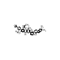 C=CC(=O)Nc1cc(Nc2nc(-c3ccnc(N4CCn5c(cc6c5CC(C)(C)C6)C4=O)c3C(F)(F)F)cn(C)c2=O)cc(C)c1N1CCN(C2COC2)C[C@@H]1C